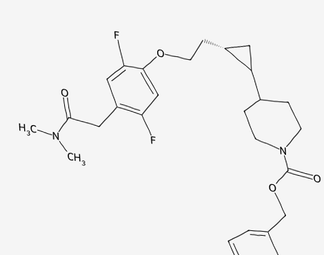 CN(C)C(=O)Cc1cc(F)c(OCC[C@@H]2CC2C2CCN(C(=O)OCc3ccccc3)CC2)cc1F